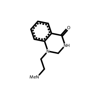 CNCCN1CNC(=O)c2ccccc21